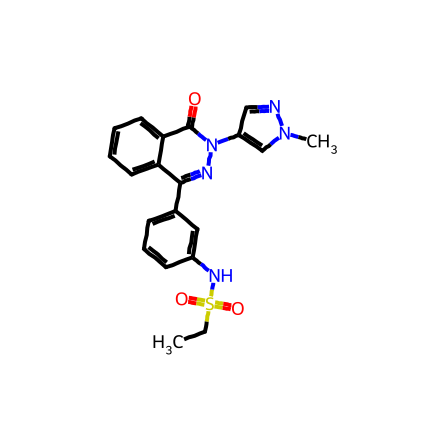 CCS(=O)(=O)Nc1cccc(-c2nn(-c3cnn(C)c3)c(=O)c3ccccc23)c1